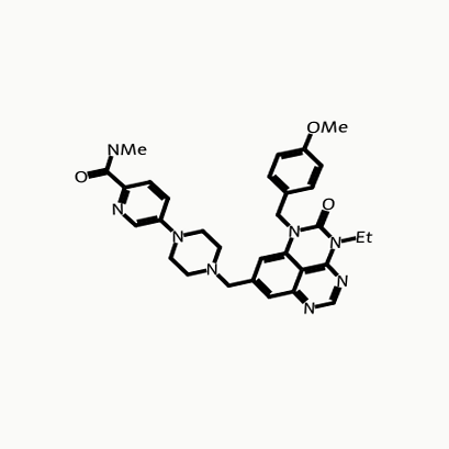 CCN1C(=O)N(Cc2ccc(OC)cc2)c2cc(CN3CCN(c4ccc(C(=O)NC)nc4)CC3)cc3ncnc1c23